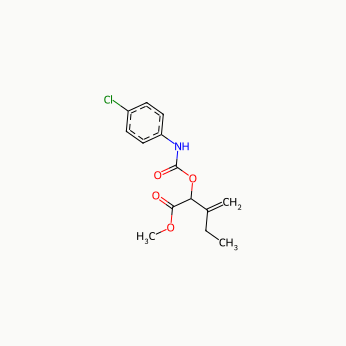 C=C(CC)C(OC(=O)Nc1ccc(Cl)cc1)C(=O)OC